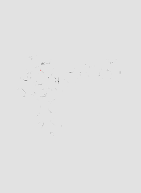 c1ccc(-c2ccc(-c3ccc(N(c4ccc(-c5ccc6ccccc6c5)cc4)c4ccccc4-c4cccc5cccc(C6CCCCC6)c45)cc3)cc2)cc1